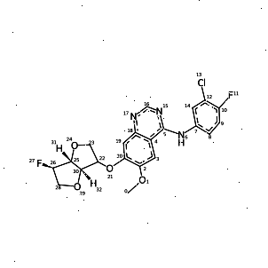 COc1cc2c(Nc3ccc(F)c(Cl)c3)ncnc2cc1OC1CO[C@H]2[C@H](F)CO[C@@H]12